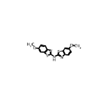 COc1ccc2nc(Nc3nc4ccc(OC)cc4s3)sc2c1